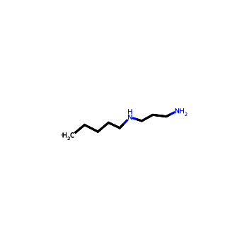 [CH2]CCCCNCCCN